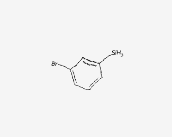 [SiH3]c1cccc(Br)c1